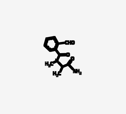 CC(C(N)=O)N(C)C(=O)c1ccccc1C=O